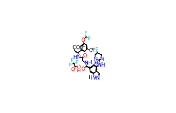 O=C(O)C(F)(F)F.O=C(O)CC(NC(=O)CNC(=O)c1cc(NC2=NCC(F)CN2)c2cn[nH]c2c1)c1cc(OC(F)F)cc(C(F)(F)F)c1